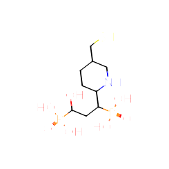 O=P(O)(O)C(O)CC(C1CCC(CS)CN1)P(=O)(O)O